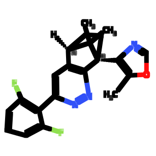 Cc1ocnc1[C@]12CC[C@H](c3cc(-c4c(F)cccc4F)nnc31)C2(C)C